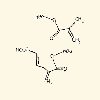 C=C(C)C(=O)OCCC.C=C(C=CC(=O)O)C(=O)OCCCC